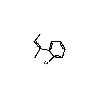 C/C=C(/C)c1ccccc1C(C)=O